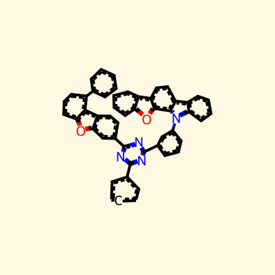 c1ccc(-c2nc(-c3cccc(-n4c5ccccc5c5ccc6c7ccccc7oc6c54)c3)nc(-c3ccc4c(c3)oc3cccc(-c5ccccc5)c34)n2)cc1